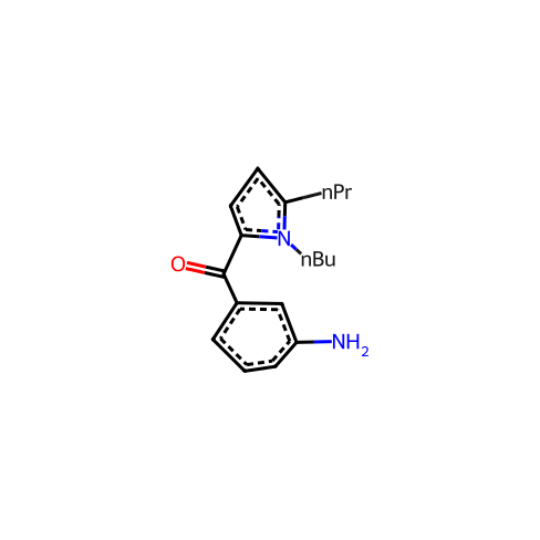 CCCCn1c(CCC)ccc1C(=O)c1cccc(N)c1